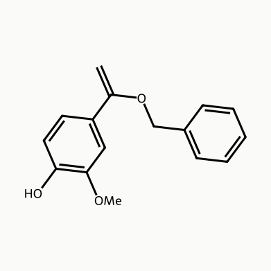 C=C(OCc1ccccc1)c1ccc(O)c(OC)c1